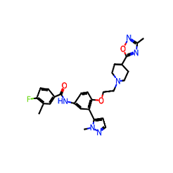 Cc1noc(C2CCN(CCOc3ccc(NC(=O)c4ccc(F)c(C)c4)cc3-c3ccnn3C)CC2)n1